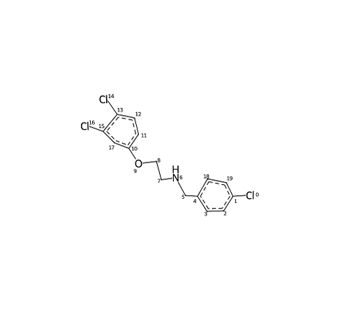 Clc1ccc(CNCCOc2ccc(Cl)c(Cl)c2)cc1